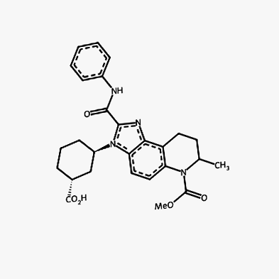 COC(=O)N1c2ccc3c(nc(C(=O)Nc4ccccc4)n3[C@@H]3CCC[C@@H](C(=O)O)C3)c2CCC1C